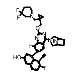 C#Cc1c(F)ccc2cc(O)cc(-c3ccc4c(N5CC6CCC(C5)N6)nc(OCC5(CN6CCCC(F)(F)C6)CC5)nc4c3F)c12